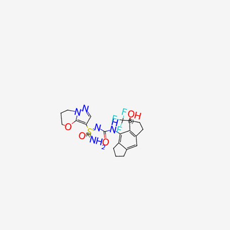 N[S@@](=O)(=NC(=O)Nc1c2c(cc3c1[C@](O)(C(F)(F)F)CC3)CCC2)c1cnn2c1OCCC2